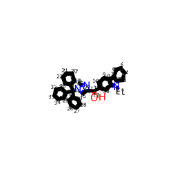 CCn1c2ccccc2c2ccc(C(O)c3cn(C(c4ccccc4)(c4ccccc4)c4ccccc4)cn3)cc21